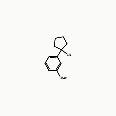 COc1cccc(C2(C#N)CCCC2)c1